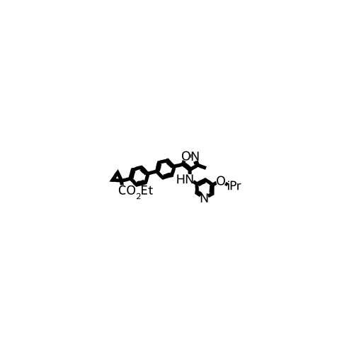 CCOC(=O)C1(c2ccc(-c3ccc(-c4onc(C)c4Nc4cncc(OC(C)C)c4)cc3)cc2)CC1